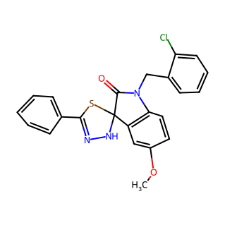 COc1ccc2c(c1)C1(NN=C(c3ccccc3)S1)C(=O)N2Cc1ccccc1Cl